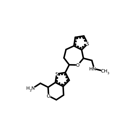 CNCC1OC(c2cc3c(s2)C(CN)OCC3)CCc2ccsc21